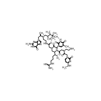 C=C(Cn1cnc2c(=O)[nH]c(N)nc21)N(CCNC(=O)CN(CC(NC(=O)CN(CCN)C(=O)Cn1ccc(NC)nc1=O)C(C)CCCNC(=N)N)C(=O)Cn1cc(C)c(=O)[nH]c1=O)CC(C)C(C)C(C)(C)C